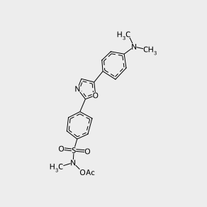 CC(=O)ON(C)S(=O)(=O)c1ccc(-c2ncc(-c3ccc(N(C)C)cc3)o2)cc1